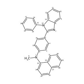 CN(c1ccc(-c2nc3ccccc3n2-c2ccccc2)cc1)c1cccc2ccccc12